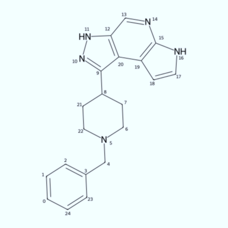 c1ccc(CN2CCC(c3n[nH]c4cnc5[nH]ccc5c34)CC2)cc1